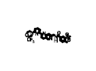 Cc1ccc(C(=O)NCc2cc3nc(-c4cccc(N5CCOC(C(F)(F)F)C5)n4)ccc3cn2)cc1S(C)(=O)=O